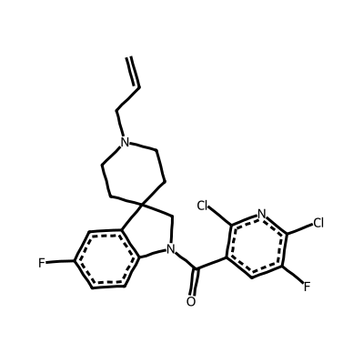 C=CCN1CCC2(CC1)CN(C(=O)c1cc(F)c(Cl)nc1Cl)c1ccc(F)cc12